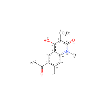 CCCC(=O)c1cc2c(O)c(C(=O)OCC)c(=O)n(CC)c2cc1C